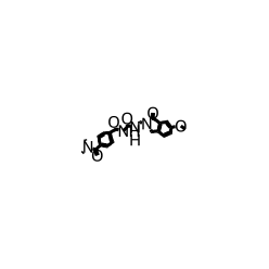 COc1ccc2c(c1)C(=O)N(CNC(=O)NC(=O)c1ccc(C(=O)N(C)C)cc1)C2